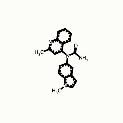 Cc1cc(N(C(N)=O)c2ccc3c(ccn3C)c2)c2ccccc2n1